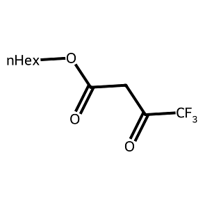 CCCCCCOC(=O)CC(=O)C(F)(F)F